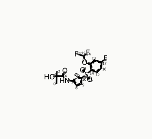 CC(C)(O)C(=O)Nc1ccc(S(=O)(=O)c2ccc(F)cc2OC(F)F)s1